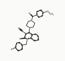 COc1ccc(C(=O)N2CCN(c3c(C#N)c(=O)n(Cc4ccc(F)cc4)c4ccccc34)CC2)cc1